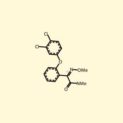 CNC(=O)/C(=N\OC)c1ccccc1Oc1ccc(Cl)c(Cl)c1